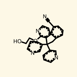 N#Cc1cccc(CC(c2cccnc2)(c2cccnc2)c2cccnc2OCCO)c1